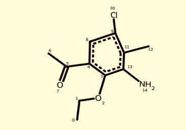 CCOc1c(C(C)=O)cc(Cl)c(C)c1N